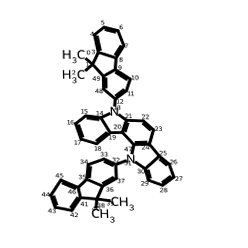 CC1(C)c2ccccc2-c2ccc(-n3c4ccccc4c4c3ccc3c5ccccc5n(-c5ccc6c(c5)C(C)(C)c5ccccc5-6)c34)cc21